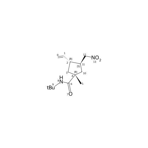 C=C[C@H]1C[C@@](C)(C(=O)NC(C)(C)C)C[C@@H]1C[N+](=O)[O-]